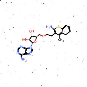 CC1=C2CC=CC=C2SC(N)=C1CCOC[C@H]1O[C@@H](n2cnc3c(N)ncnc32)[C@H](O)[C@@H]1O